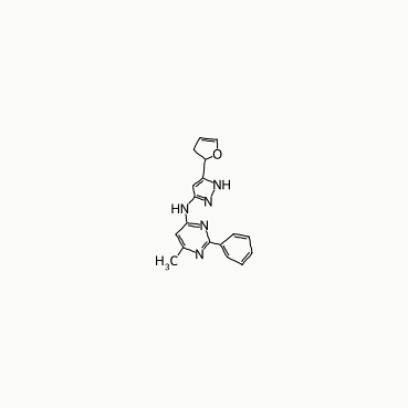 Cc1cc(Nc2cc(C3CC=CO3)[nH]n2)nc(-c2ccccc2)n1